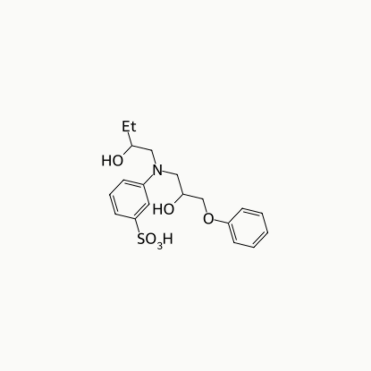 CCC(O)CN(CC(O)COc1ccccc1)c1cccc(S(=O)(=O)O)c1